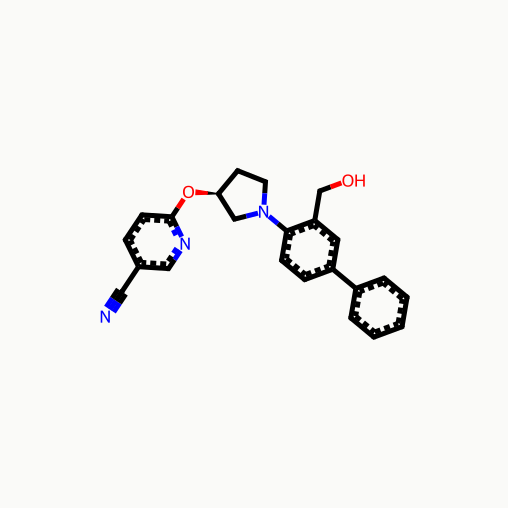 N#Cc1ccc(O[C@H]2CCN(c3ccc(-c4ccccc4)cc3CO)C2)nc1